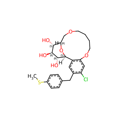 CSc1ccc(Cc2cc3c(cc2Cl)OCCCCOC[C@H]2O[C@@H]3[C@H](O)[C@@H](O)[C@@H]2O)cc1